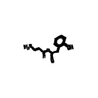 NCCNOC(=O)Cc1ccccc1O